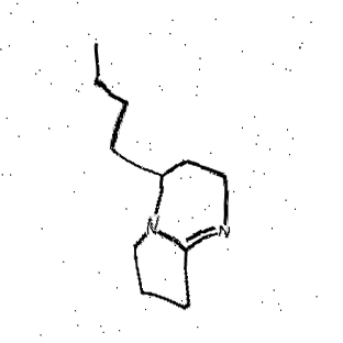 CCCCC1CCN=C2CCCN21